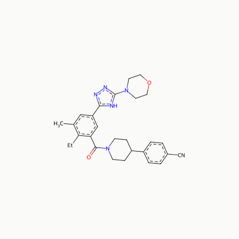 CCc1c(C)cc(-c2nnc(N3CCOCC3)[nH]2)cc1C(=O)N1CCC(c2ccc(C#N)cc2)CC1